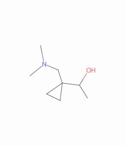 CC(O)C1(CN(C)C)CC1